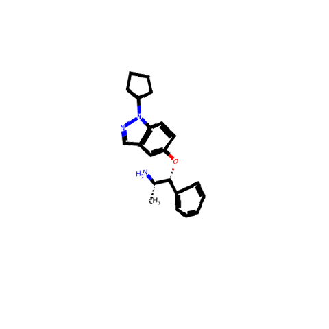 C[C@H](N)[C@H](Oc1ccc2c(cnn2C2CCCC2)c1)c1ccccc1